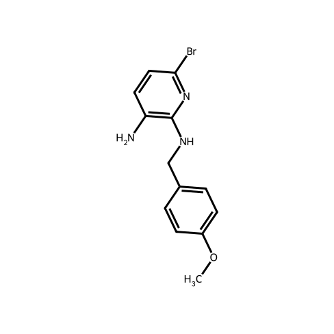 COc1ccc(CNc2nc(Br)ccc2N)cc1